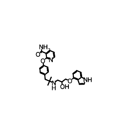 CC(C)(Cc1ccc(Oc2ncccc2C(N)=O)cc1)NCC(O)COc1cccc2[nH]ccc12